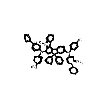 C=C/C=C(\C=C/CC1=CCCC=C1)N(c1ccc(C(C)(C)C)cc1)c1ccc2c(c1)C(c1ccccc1)(c1ccccc1)c1cc(N(c3ccc(-c4ccccc4)cc3)c3ccc(C(C)(C)C)cc3)c3c(c1-2)c1ccccc1n3C